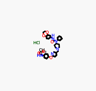 CS(=O)(=O)Nc1ccc(Oc2ccc(CN3CCC(N(C(=O)Nc4ccc5c(c4)OCCO5)c4ccccc4)CC3)cn2)cc1.Cl